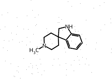 CN1CCC2(CC1)CNc1ccccc12